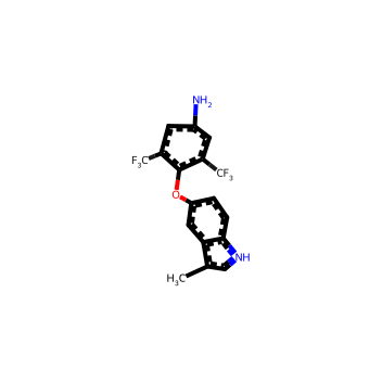 Cc1c[nH]c2ccc(Oc3c(C(F)(F)F)cc(N)cc3C(F)(F)F)cc12